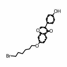 O=c1c(-c2ccc(O)cc2)coc2cc(OCCCCCCBr)ccc12